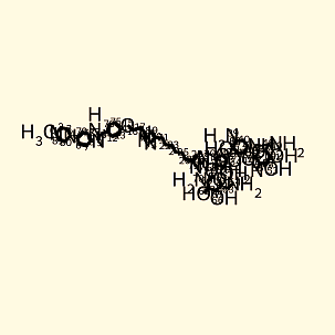 CN1CCN(c2ccc3nc(-c4ccc(OCCn5cc(CCCCCCc6cn(C[C@H]7OC(O[C@@H]8C(O)[C@H](N)CC(N)[C@H]8O[C@H]8OC(CN)[C@@H](O)[C@H](O)C8N)[C@@H](O)[C@H]7O[C@H]7O[C@@H](CN)[C@@H](O)C(O)C7N)nn6)nn5)cc4)[nH]c3c2)CC1